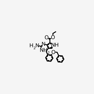 CCOC(=O)c1[nH]cc(Cc2ccccc2OCc2ccccc2)c1N=C(N)N